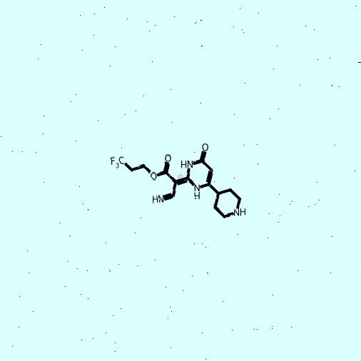 N=C/C(C(=O)OCCC(F)(F)F)=C1/NC(=O)C=C(C2CCNCC2)N1